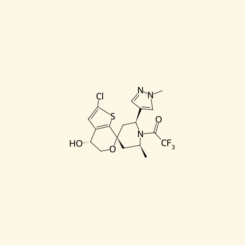 C[C@H]1C[C@@]2(C[C@@H](c3cnn(C)c3)N1C(=O)C(F)(F)F)OC[C@H](O)c1cc(Cl)sc12